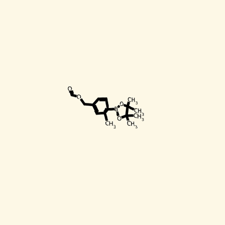 Cc1cc(COC=O)ccc1B1OC(C)(C)C(C)(C)O1